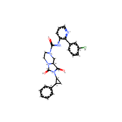 O=C(Nc1cccnc1-c1cccc(Cl)c1)N1CCN2C(=O)N(C3CC3c3ccccc3)C(=O)C2C1